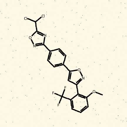 COc1cccc(C(F)(F)F)c1-c1cc(-c2ccc(-c3noc(C(Cl)Cl)n3)cc2)on1